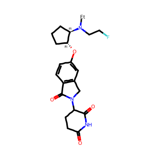 CCN(CCF)[C@@H]1CCC[C@H]1Oc1ccc2c(c1)CN(C1CCC(=O)NC1=O)C2=O